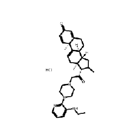 CCNc1cccnc1N1CCN(CC(=O)[C@H]2C(C)C[C@H]3[C@@H]4CCC5=CC(=O)C=C[C@]5(C)C4=CC[C@]23C)CC1.Cl